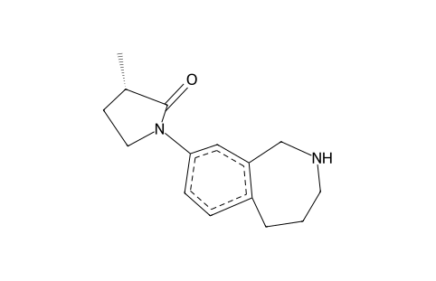 C[C@H]1CCN(c2ccc3c(c2)CNCCC3)C1=O